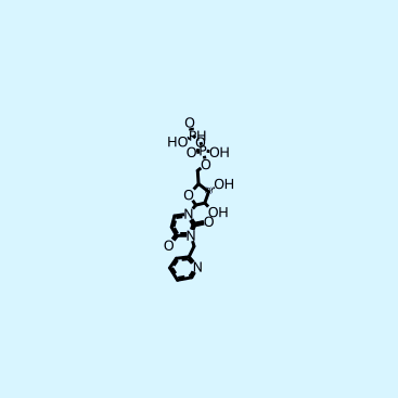 O=c1ccn(C2OC(COP(=O)(O)O[PH](=O)O)[C@H](O)C2O)c(=O)n1Cc1ccccn1